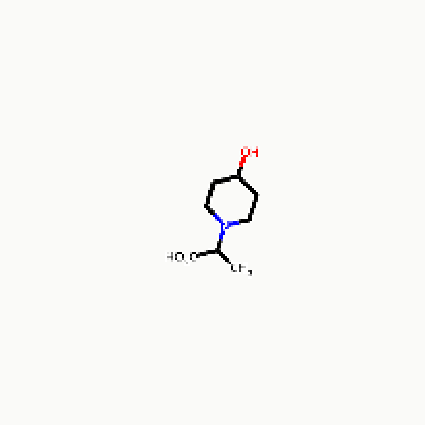 CC(C(=O)O)N1CCC(O)CC1